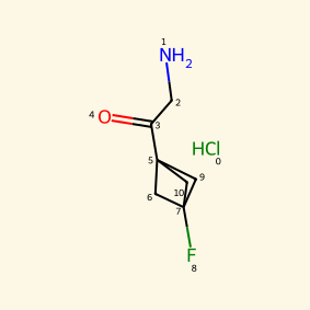 Cl.NCC(=O)C12CC(F)(C1)C2